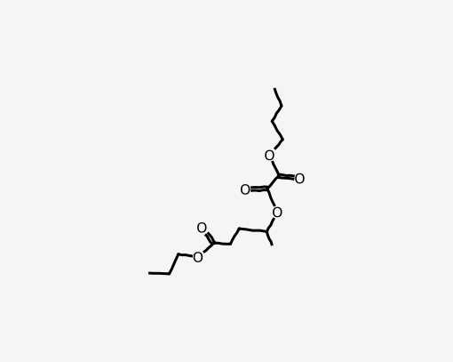 CCCCOC(=O)C(=O)OC(C)CCC(=O)OCCC